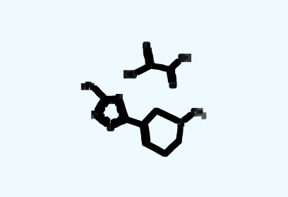 CCCc1noc(C2=CCCN(C)C2)n1.O=C(O)C(=O)O